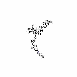 CN(C)c1ccc(/N=N/c2ccc(C(=O)NCc3cn(CCOCCOC(O[C@@H]4O[C@H](CO)[C@H](O)[C@H](O)[C@H]4O)C(C)(O)C(=O)NCCNc4cccc5c(S(=O)(=O)O)cccc45)nn3)cc2)cc1